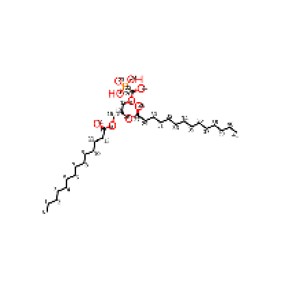 CCCCCCCCCCCCCC(=O)OC[C@H](COC(=O)P(=O)(O)O)OC(=O)CCCCCCCCCCCCC